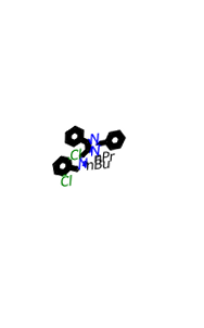 CCCCN(Cc1c(Cl)cccc1Cl)Cc1c(-c2ccccc2)nc(-c2ccccc2)n1CCC